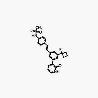 CS(=O)(=O)Nc1ccc(/C=C/c2cc(-c3ccc[nH]c3=O)cc(C3(F)CCC3)c2)cc1